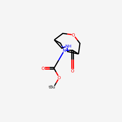 CC(C)(C)OC(=O)N1CC2CNCC(COC2)C1=O